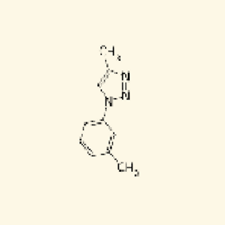 Cc1cccc(-n2cc(C)nn2)c1